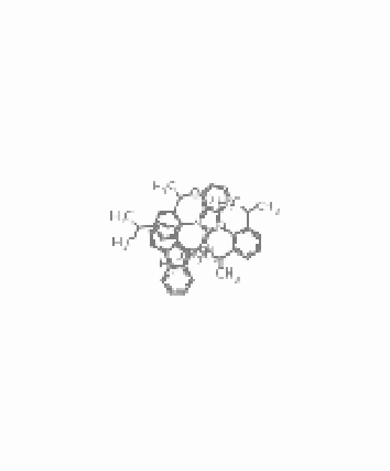 CC(C)c1cc(C(C)C)c(-n2/c(=N\n3c4ccccc4c4ccccc43)n(-c3c(C(C)C)cccc3C(C)C)c3nccnc32)c(C(C)C)c1